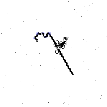 CC/C=C\C/C=C\C/C=C\C/C=C\C/C=C\CCCCCC(=O)O[C@H](COC(=O)CCCCCCCCCCCCCCCCC)COP(=O)(O)OCC[N+](C)(C)C